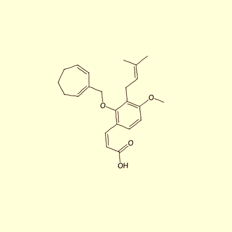 COc1ccc(/C=C\C(=O)O)c(OCC2=CCCCC=C2)c1CC=C(C)C